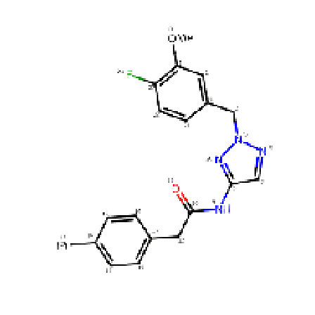 COc1cc(Cn2ncc(NC(=O)Cc3ccc(C(C)C)cc3)n2)ccc1F